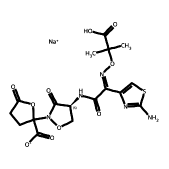 CC(C)(ON=C(C(=O)N[C@H]1CON(C2(C(=O)[O-])CCC(=O)O2)C1=O)c1csc(N)n1)C(=O)O.[Na+]